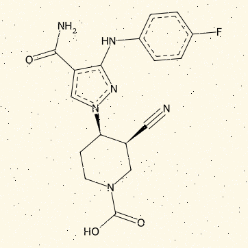 N#C[C@H]1CN(C(=O)O)CC[C@H]1n1cc(C(N)=O)c(Nc2ccc(F)cc2)n1